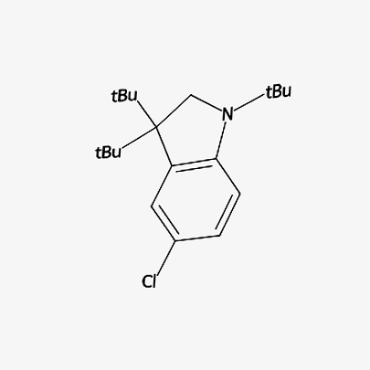 CC(C)(C)N1CC(C(C)(C)C)(C(C)(C)C)c2cc(Cl)ccc21